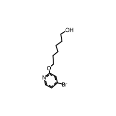 OCCCCCCOc1cc(Br)ccn1